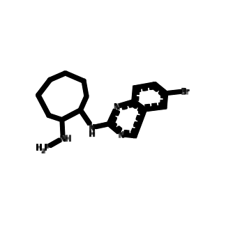 PNC1CCCCCCC1Nc1ncc2cc(Br)ccc2n1